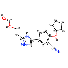 N#Cc1cc(-c2c[nH]c(CCOC=O)n2)ccc1OC1CCCC1